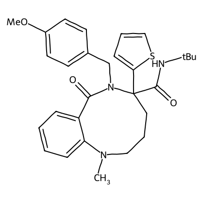 COc1ccc(CN2C(=O)c3ccccc3N(C)CCCC2(C(=O)NC(C)(C)C)c2cccs2)cc1